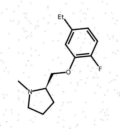 CCc1ccc(F)c(OC[C@H]2CCCN2C)c1